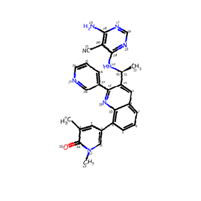 Cc1cc(-c2cccc3cc([C@H](C)Nc4ncnc(N)c4C#N)c(-c4cccnc4)nc23)cn(C)c1=O